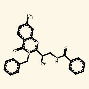 CC(C)C(CNC(=O)c1ccccc1)c1nc2cc(C(F)(F)F)ccc2c(=O)n1Cc1ccccc1